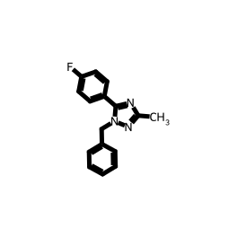 Cc1nc(-c2ccc(F)cc2)n(Cc2ccccc2)n1